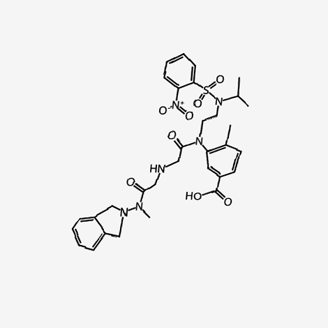 Cc1ccc(C(=O)O)cc1N(CCN(C(C)C)S(=O)(=O)c1ccccc1[N+](=O)[O-])C(=O)CNCC(=O)N(C)N1Cc2ccccc2C1